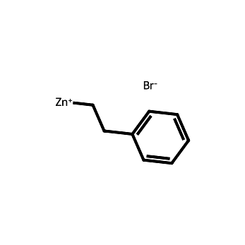 [Br-].[Zn+][CH2]Cc1ccccc1